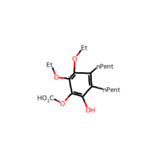 CCCCCc1c(O)c(OC(=O)O)c(OCC)c(OCC)c1CCCCC